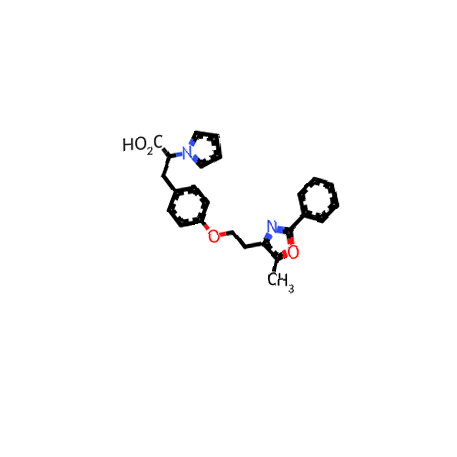 Cc1oc(-c2ccccc2)nc1CCOc1ccc(CC(C(=O)O)n2cccc2)cc1